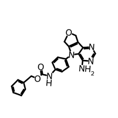 Nc1ncnc2c3c(n(-c4ccc(NC(=O)OCc5ccccc5)cc4)c12)COC3